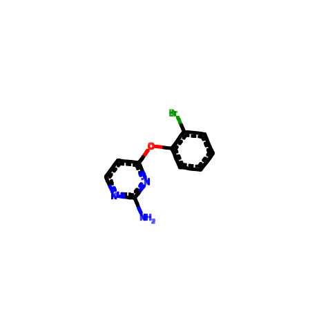 Nc1nccc(Oc2ccccc2Br)n1